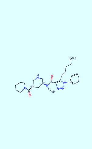 COCCCCc1c(C(=O)N(CC(C)C)[C@@H]2CNC[C@H](C(=O)N3CCCCC3)C2)nnn1-c1ccccc1